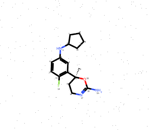 C[C@@]1(c2cc(NC3CCCC3)ccc2F)CCN=C(N)O1